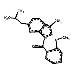 COc1ccccc1C(=O)n1nc(N)c2ccc(CC(C)C)nc21